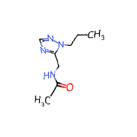 CCCn1ncnc1CNC(C)=O